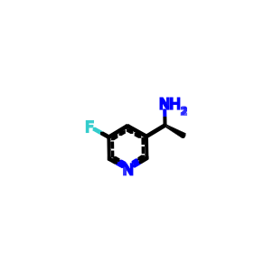 C[C@H](N)c1cncc(F)c1